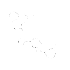 Cc1ccnc(Nc2cccc(-c3ccc(CN(Cc4ccccc4)C(=O)CCC(=O)O)s3)n2)c1